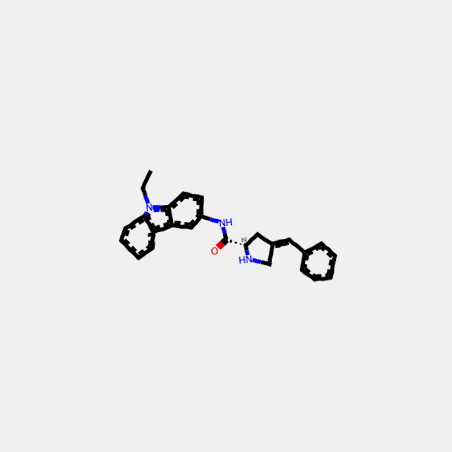 CCn1c2ccccc2c2cc(NC(=O)[C@@H]3CC(=Cc4ccccc4)CN3)ccc21